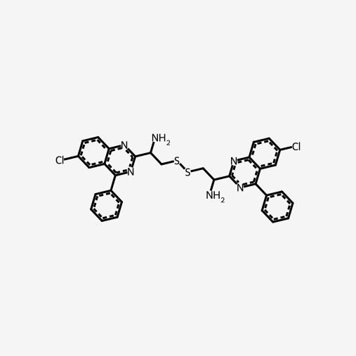 NC(CSSCC(N)c1nc(-c2ccccc2)c2cc(Cl)ccc2n1)c1nc(-c2ccccc2)c2cc(Cl)ccc2n1